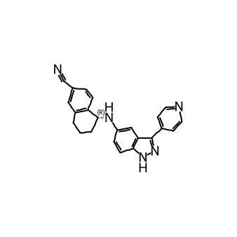 N#Cc1ccc2c(c1)CCC[C@H]2Nc1ccc2[nH]nc(-c3ccncc3)c2c1